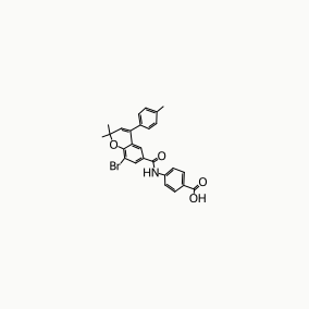 Cc1ccc(C2=CC(C)(C)Oc3c(Br)cc(C(=O)Nc4ccc(C(=O)O)cc4)cc32)cc1